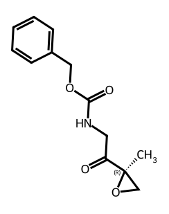 C[C@]1(C(=O)CNC(=O)OCc2ccccc2)CO1